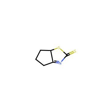 S=C1N=C2CCCC2S1